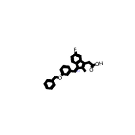 CC1=C(CC(=O)O)c2cc(F)ccc2/C1=C\c1cccc(OCc2ccccc2)c1